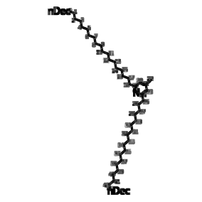 CCCCCCCCCCCCCCCCCCCCCCCCCCCCc1cc(C)cc(CCCCCCCCCCCCCCCCCCCCCCCCCCCC)n1